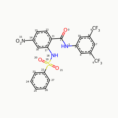 O=C(Nc1cc(C(F)(F)F)cc(C(F)(F)F)c1)c1ccc([N+](=O)[O-])cc1NS(=O)(=O)c1ccccc1